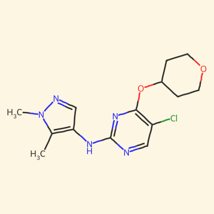 Cc1c(Nc2ncc(Cl)c(OC3CCOCC3)n2)cnn1C